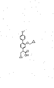 CSc1ccc(-c2ccc(C(CC3CC3)C(=O)O)cc2OCC2CC2)cc1